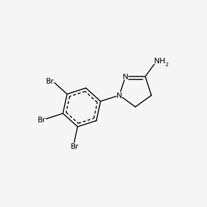 NC1=NN(c2cc(Br)c(Br)c(Br)c2)CC1